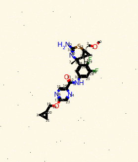 COC[C@]12C[C@H]1[C@](C)(c1cc(NC(=O)c3cnc(OCC4CC4)cn3)cc(F)c1F)N=C(N)S2